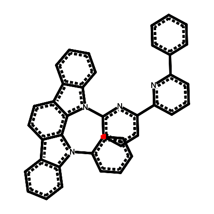 c1ccc(-c2cccc(-c3cccc(-n4c5ccccc5c5ccc6c7ccccc7n(-c7ccccc7)c6c54)n3)n2)cc1